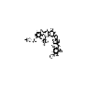 O=C(O)c1ccc2nc(CN3CCC(Oc4nc(Cc5ccc(Cl)cc5F)cs4)CC3)n(C[C@@H]3CCO3)c2c1